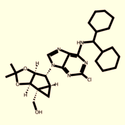 CC1(C)O[C@H]2[C@H](n3cnc4c(NC(C5CCCCC5)C5CCCCC5)nc(Cl)nc43)[C@H]3C[C@@]3(CO)[C@H]2O1